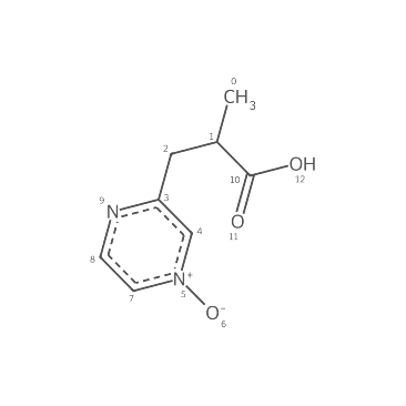 CC(Cc1c[n+]([O-])ccn1)C(=O)O